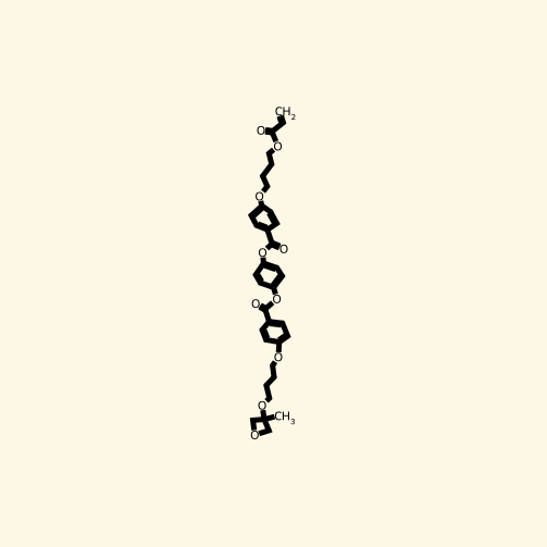 C=CC(=O)OCCCCOc1ccc(C(=O)Oc2ccc(OC(=O)c3ccc(OCCCCOC4(C)COC4)cc3)cc2)cc1